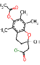 CC(=O)Oc1c(C)c(C)c2c(c1C)CCC(C)(CC(=O)Cl)O2